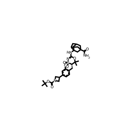 CC(C)(C)OC(=O)N1CC(c2ccc(C[C@@H]3C(C)(C)OC(NC45CC6CC4CC(C(N)=O)(C6)C5)=NS3(=O)=O)c(F)c2)C1